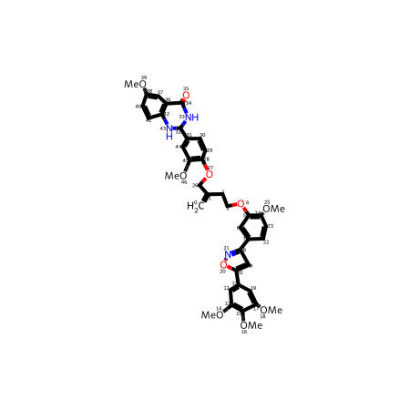 C=C(CCOc1cc(-c2cc(-c3cc(OC)c(OC)c(OC)c3)on2)ccc1OC)COc1ccc(C2NC(=O)c3cc(OC)ccc3N2)cc1OC